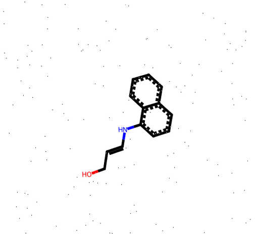 OCC=CNc1cccc2ccccc12